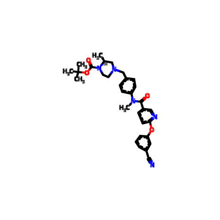 C[C@H]1CN(Cc2ccc(N(C)C(=O)c3ccc(Oc4cccc(C#N)c4)nc3)cc2)CCN1C(=O)OC(C)(C)C